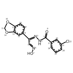 O=C(N/N=C(\C=N\O)c1ccc2c(c1)OCO2)c1cccc(Cl)c1